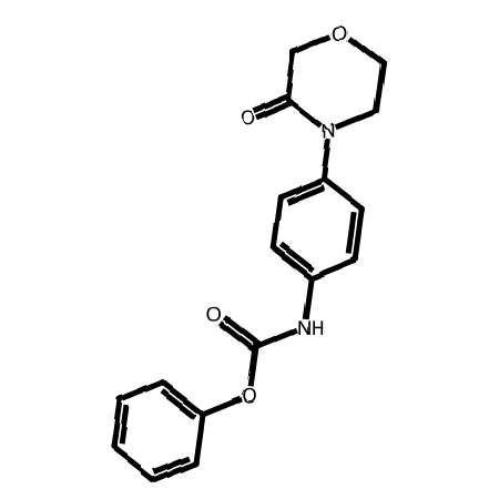 O=C(Nc1ccc(N2CCOCC2=O)cc1)Oc1ccccc1